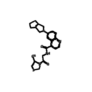 N#CC1CSCN1C(=O)CNC(=O)c1ccnc2ccc(N3CC4CCCC4C3)cc12